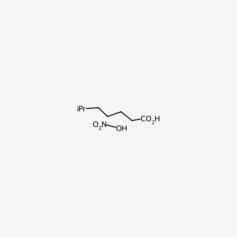 CC(C)CCCCC(=O)O.O=[N+]([O-])O